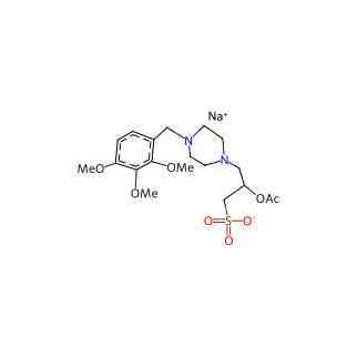 COc1ccc(CN2CCN(CC(CS(=O)(=O)[O-])OC(C)=O)CC2)c(OC)c1OC.[Na+]